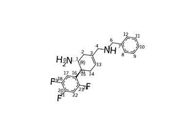 N[C@@H]1CC(CNCc2ccccc2)=CC[C@H]1c1cc(F)c(F)cc1F